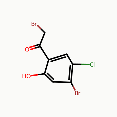 O=C(CBr)c1cc(Cl)c(Br)cc1O